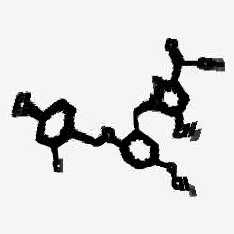 COc1ccc(OCc2ccc(Cl)cc2Cl)c(Cn2nc(C(=O)O)cc2C)c1